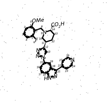 COc1cccc(F)c1CN1C[C@H](c2cn(-c3ccc4[nH]nc(-c5ccncc5)c4c3)nn2)CC[C@H]1C(=O)O